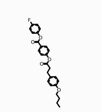 CCCCOc1ccc(CCC(=O)Oc2ccc(C(=O)Oc3ccc(F)cc3)cc2)cc1